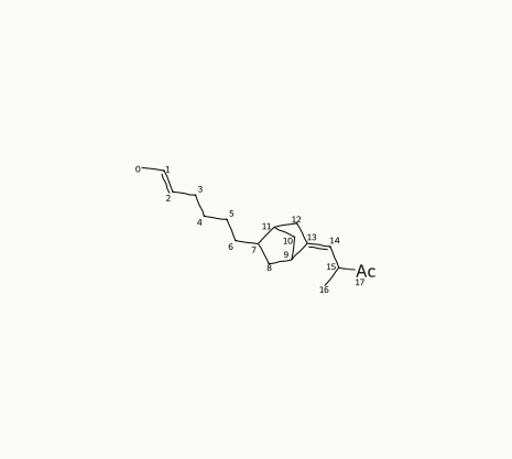 CC=CCCCCC1CC2CC1CC2=CC(C)C(C)=O